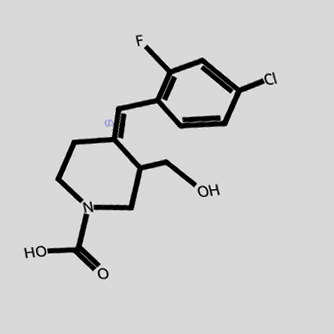 O=C(O)N1CC/C(=C/c2ccc(Cl)cc2F)C(CO)C1